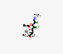 CON=CC(F)C(OC(=O)C(C)(C)C)C(Br)CCC(C)(C)C(=O)OC(C)=O